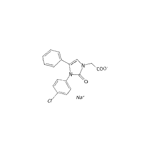 O=C([O-])Cn1cc(-c2ccccc2)n(-c2ccc(Cl)cc2)c1=O.[Na+]